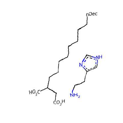 CCCCCCCCCCCCCCCCCCC(CC(=O)O)C(=O)O.NCCc1c[nH]cn1